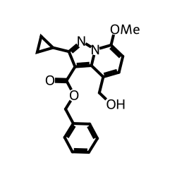 COc1ccc(CO)c2c(C(=O)OCc3ccccc3)c(C3CC3)nn12